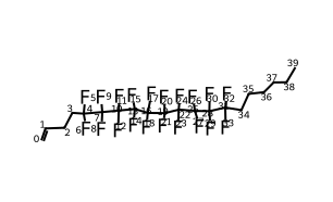 C=CCCC(F)(F)C(F)(F)C(F)(F)C(F)(F)C(F)(F)C(F)(F)C(F)(F)C(F)(F)C(F)(F)C(F)(F)CCCCCC